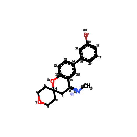 C/N=C1/CC2(CCOCC2)Oc2ccc(-c3cccc(Br)c3)cc21